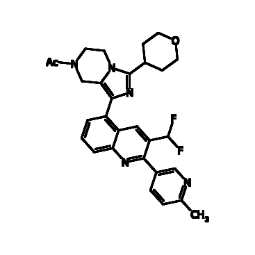 CC(=O)N1CCn2c(C3CCOCC3)nc(-c3cccc4nc(-c5ccc(C)nc5)c(C(F)F)cc34)c2C1